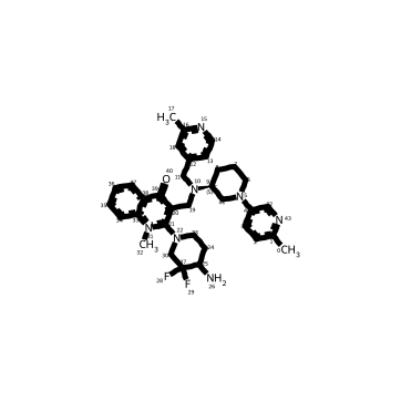 Cc1ccc(N2CCC[C@H](N(Cc3ccnc(C)c3)Cc3c(N4CCC(N)C(F)(F)C4)n(C)c4ccccc4c3=O)C2)cn1